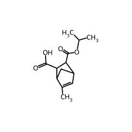 CC1=CC2CC1C(C(=O)O)C2C(=O)OC(C)C